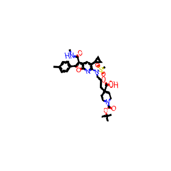 CNC(=O)c1c(-c2ccc(C)cc2)oc2nc(N(CCCC3(C(=O)O)CCN(C(=O)OC(C)(C)C)CC3)S(C)(=O)=O)c(C3CC3)cc12